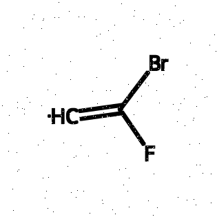 [CH]=C(F)Br